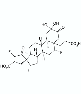 C[C@H]1C[C@H]2[C@@H]3C[C@@H](F)C4(CCC(=O)O)CC(=O)C(O)(O)C[C@]4(C)[C@H]3CC[C@]2(C)[C@@]1(CCC(=O)O)C(=O)CF